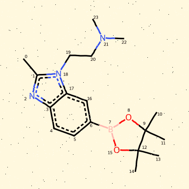 Cc1nc2ccc(B3OC(C)(C)C(C)(C)O3)cc2n1CCN(C)C